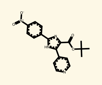 CC(C)(C)OC(=O)c1nc(-c2ccc([N+](=O)[O-])cc2)[nH]c1-c1ccncc1